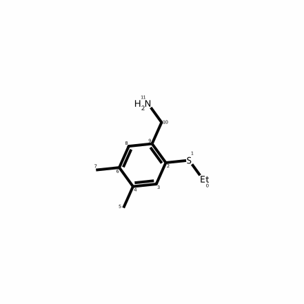 CCSc1cc(C)c(C)cc1CN